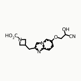 N#CC(O)COc1ccc2nc(CC3CN(C(=O)O)C3)cn2c1